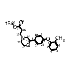 Cc1ccccc1Oc1ccc(C2CN(CCC(=O)OC(C)(C)C)CCO2)cc1